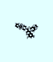 O=C(c1cnc2c(F)cc(F)cc2c1N1CCC2(CC1)OCCO2)N1CCN(S(=O)(=O)N2CCCC2)CC1